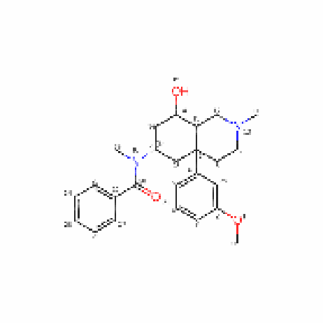 COc1cccc(C23CCN(C)CC2C(O)C[C@@H](N(C)C(=O)c2ccccc2)C3)c1